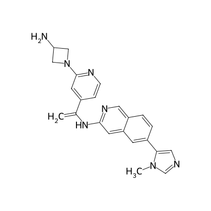 C=C(Nc1cc2cc(-c3cncn3C)ccc2cn1)c1ccnc(N2CC(N)C2)c1